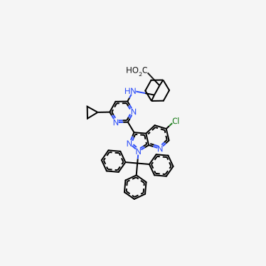 O=C(O)C1C2CCC(CC2)C1Nc1cc(C2CC2)nc(-c2nn(C(c3ccccc3)(c3ccccc3)c3ccccc3)c3ncc(Cl)cc23)n1